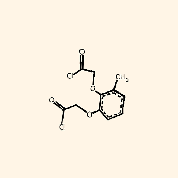 Cc1cccc(OCC(=O)Cl)c1OCC(=O)Cl